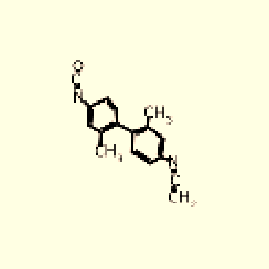 C=C=Nc1ccc(-c2ccc(N=C=O)cc2C)c(C)c1